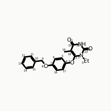 CCn1c(Oc2ccc(OCc3ccccc3)cc2)c(C)c(=O)[nH]c1=O